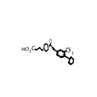 O=C(O)CCCN1CCN(C(=O)C#Cc2ccc(-c3ccccc3)c(C(F)(F)F)c2)CC1